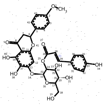 COc1ccc(C2CC(=O)c3c(cc(O[C@@H]4OC(CO)[C@@H](O)[C@H](O)C4OC(=O)/C=C/c4ccc(O)cc4)c(O)c3O)O2)cc1